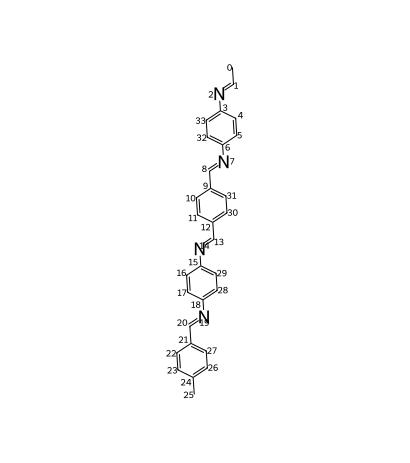 CC=Nc1ccc(N=Cc2ccc(C=Nc3ccc(N=Cc4ccc(C)cc4)cc3)cc2)cc1